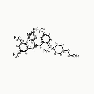 CC(C)[C@H](c1ccc(C(F)(F)F)cc1CN(Cc1cc(C(F)(F)F)cc(C(F)(F)F)c1)c1nnn(C)n1)N1CCC(CCO)CC1